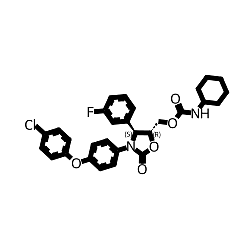 O=C(NC1CCCCC1)OC[C@@H]1OC(=O)N(c2ccc(Oc3ccc(Cl)cc3)cc2)[C@H]1c1cccc(F)c1